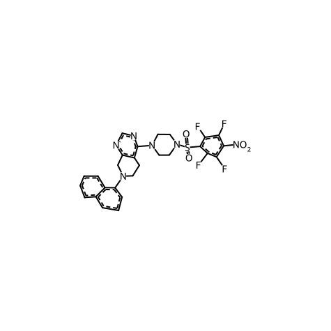 O=[N+]([O-])c1c(F)c(F)c(S(=O)(=O)N2CCN(c3ncnc4c3CCN(c3cccc5ccccc35)C4)CC2)c(F)c1F